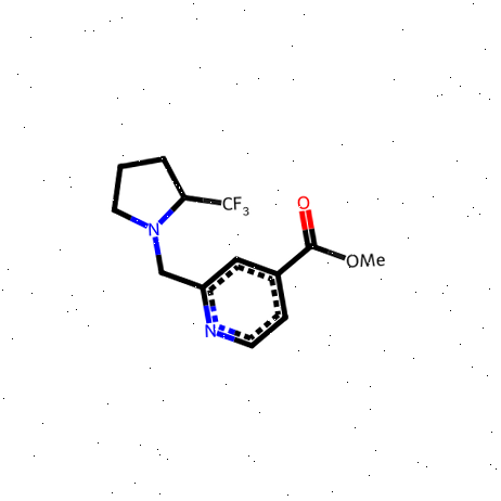 COC(=O)c1ccnc(CN2CCCC2C(F)(F)F)c1